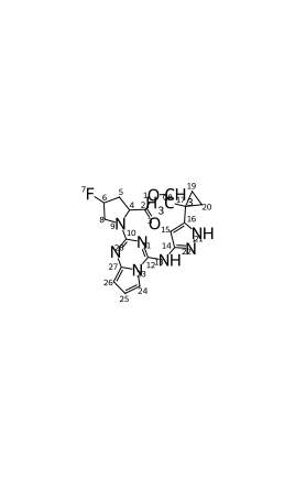 COC(=O)C1CC(F)CN1c1nc(Nc2cc(C3(C)CC3)[nH]n2)n2cccc2n1